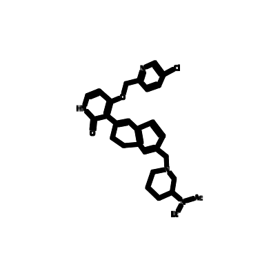 CCN(C(C)=O)C1CCCN(Cc2ccc3c(c2)CCC(c2c(OCc4ccc(Cl)cn4)cc[nH]c2=O)=C3)C1